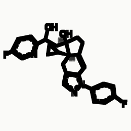 OC(C[C@]1(O)CCC2=Cc3c(cnn3-c3ccc(F)cc3)C[C@@]21C1CC1)c1ccc(F)cn1